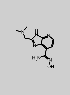 CN(C)Cc1nc2c(/C(N)=N/O)ccnc2[nH]1